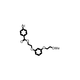 COCCOc1cccc(OCCOC(=O)c2ccc(C(C)=O)cc2)c1